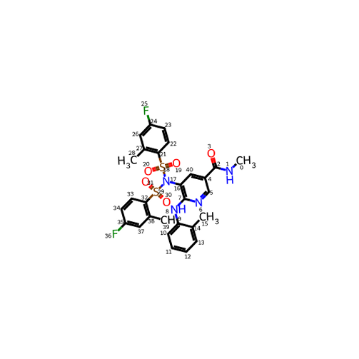 CNC(=O)c1cnc(Nc2ccccc2C)c(N(S(=O)(=O)c2ccc(F)cc2C)S(=O)(=O)c2ccc(F)cc2C)c1